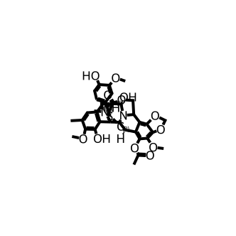 COc1cc2c(cc1O)CCN[C@@]21SC[C@@H]2c3c(OC(C)=O)c(OC)c4c(c3C(COC1=O)N1C2C2c3c(cc(C)c(OC)c3O)CC([C@@H]1O)N2C)OCO4